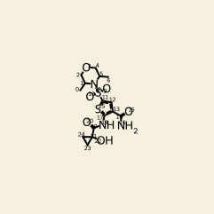 CC1COCC(C)N1S(=O)(=O)c1cc(C(N)=O)c(NC(=O)C2(O)CC2)s1